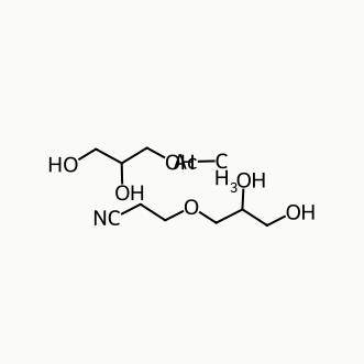 CC(C)=O.N#CCCOCC(O)CO.OCC(O)CO